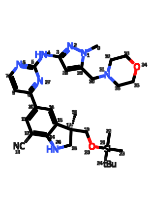 Cn1nc(Nc2nccc(-c3cc(C#N)c4c(c3)[C@@](C)(CO[Si](C)(C)C(C)(C)C)CN4)n2)cc1CN1CCOCC1